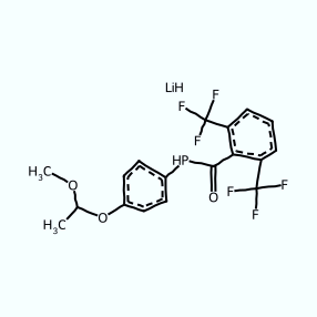 COC(C)Oc1ccc(PC(=O)c2c(C(F)(F)F)cccc2C(F)(F)F)cc1.[LiH]